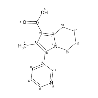 Cc1c(C(=O)O)c2n(c1-c1cccnc1)CCCC2